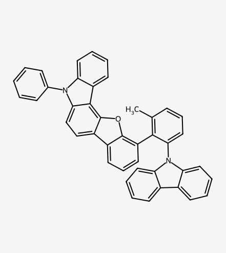 Cc1cccc(-n2c3ccccc3c3ccccc32)c1-c1cccc2c1oc1c2ccc2c1c1ccccc1n2-c1ccccc1